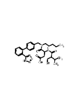 CCCCCN(Cc1ccc(-c2ccccc2-c2nnn[nH]2)cc1)C(=O)C(CC(=O)O)NC(=O)C(CS)C(C)C